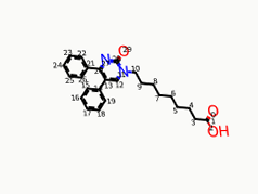 O=C(O)CCCCCCCCn1cc(-c2ccccc2)c(-c2ccccc2)nc1=O